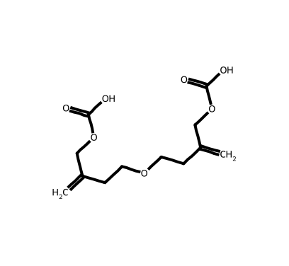 C=C(CCOCCC(=C)COC(=O)O)COC(=O)O